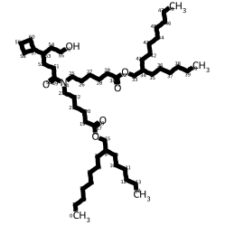 CCCCCCCCC(CCCCCC)COC(=O)CCCCCN(CCCCCC(=O)OCC(CCCCCC)CCCCCCCC)C(=O)CCC(CCO)C1CCC1